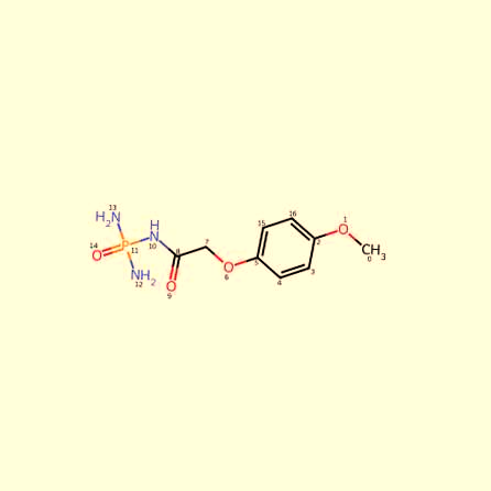 COc1ccc(OCC(=O)NP(N)(N)=O)cc1